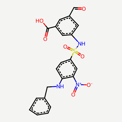 O=Cc1cc(NS(=O)(=O)c2ccc(NCc3ccccc3)c([N+](=O)[O-])c2)cc(C(=O)O)c1